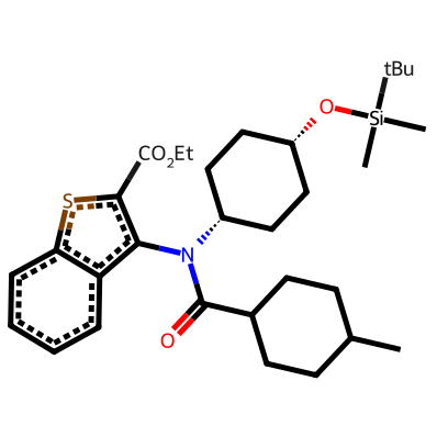 CCOC(=O)c1sc2ccccc2c1N(C(=O)C1CCC(C)CC1)[C@H]1CC[C@@H](O[Si](C)(C)C(C)(C)C)CC1